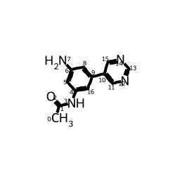 CC(=O)Nc1cc(N)cc(-c2cncnc2)c1